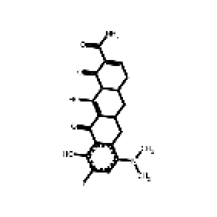 CN(C)c1cc(I)c(O)c2c1CC1CC3CC=C(C(N)=O)C(=O)C3C(O)=C1C2=O